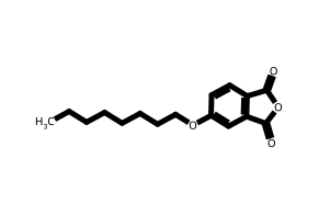 CCCCCCCCOc1ccc2c(c1)C(=O)OC2=O